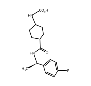 C[C@@H](NC(=O)C1CCC(NC(=O)O)CC1)c1ccc(F)cc1